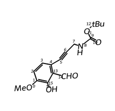 COc1ccc(C#CCNC(=O)OC(C)(C)C)c(C=O)c1O